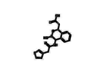 O=C(O)CC1OB(O)C(NC(=O)Cc2ccsc2)c2ccccc21